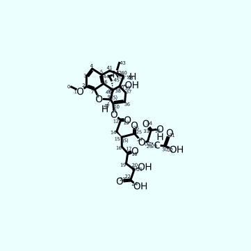 COc1ccc2c3c1O[C@@H]1C(OC(=O)C[C@H](CC(=O)C[C@H](O)C(=O)O)C(=O)O[C@@H](CC(=O)O)C(=O)O)=CC[C@]4(O)[C@H](C2)N(C)CC[C@@]314